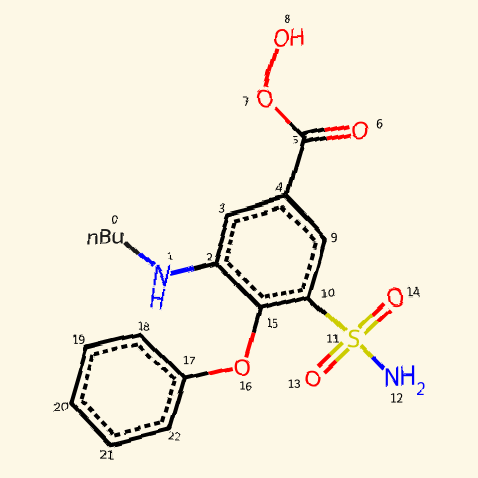 CCCCNc1cc(C(=O)OO)cc(S(N)(=O)=O)c1Oc1ccccc1